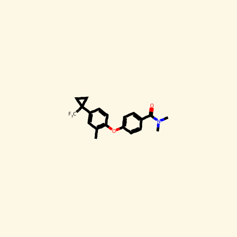 Cc1cc(C2(C(F)(F)F)CC2)ccc1Oc1ccc(C(=O)N(C)C)cc1